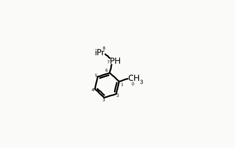 Cc1ccccc1PC(C)C